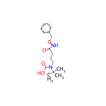 CC(C)(C)N(CCCC(=O)NOCc1ccccc1)C(=O)O